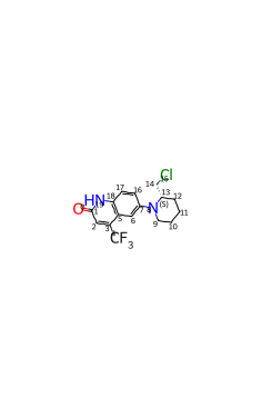 O=c1cc(C(F)(F)F)c2cc(N3CCCC[C@H]3CCl)ccc2[nH]1